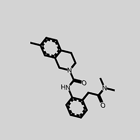 Cc1ccc2c(c1)CN(C(=O)Nc1ccccc1CC(=O)N(C)C)CC2